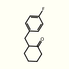 O=C1CCCCC1Cc1ccc(F)cc1